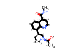 CC[C@H](CNC(C)=O)c1cccc2c(C(=O)NC)ccnc12